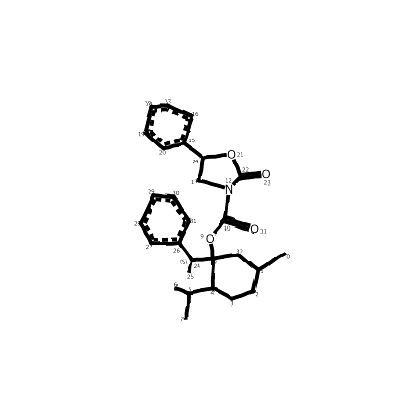 CC1CCC(C(C)C)C(OC(=O)N2CC(c3ccccc3)OC2=O)([C@@H](C)c2ccccc2)C1